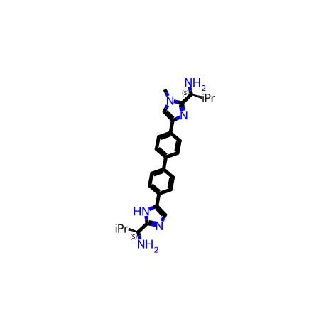 CC(C)[C@H](N)c1ncc(-c2ccc(-c3ccc(-c4cn(C)c([C@@H](N)C(C)C)n4)cc3)cc2)[nH]1